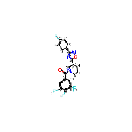 O=C(c1cc(F)c(F)c(F)c1)N1CCC[C@H](c2nc(C3C=CC(F)=CC3)no2)C1